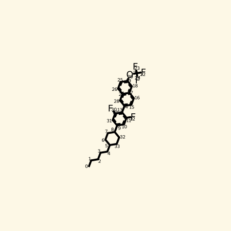 CCCCCC1CCC(c2cc(F)c(-c3ccc4cc(OC(F)(F)F)ccc4c3)c(F)c2)CC1